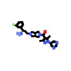 Cc1nn(-c2cncnc2)c(C)c1C(=O)N1CC2CN(CC[C@H](N)c3cccc(F)c3)CC2C1